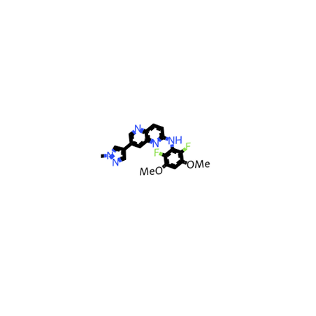 COc1cc(OC)c(F)c(Nc2ccc3ncc(-c4cnn(C)c4)cc3n2)c1F